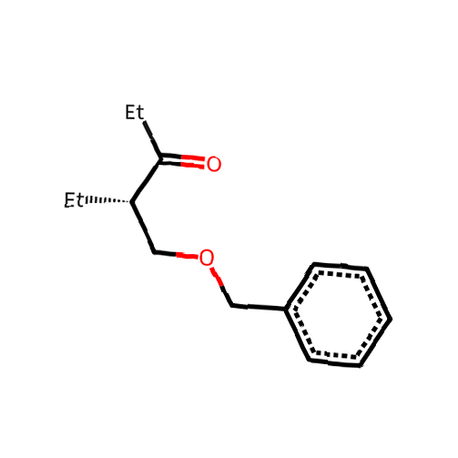 CCC(=O)[C@@H](CC)COCc1ccccc1